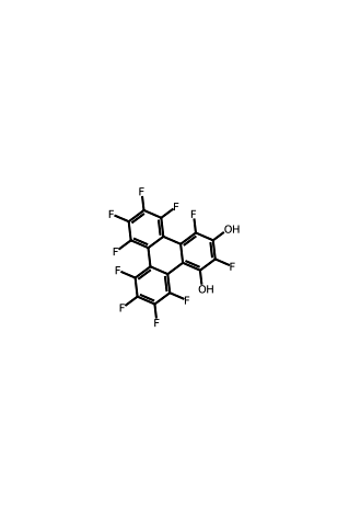 Oc1c(F)c(O)c2c(c1F)c1c(F)c(F)c(F)c(F)c1c1c(F)c(F)c(F)c(F)c21